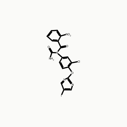 NC(=O)N(C(=O)c1ccccc1[N+](=O)[O-])c1ccc(Oc2ncc(I)cn2)c(Cl)c1